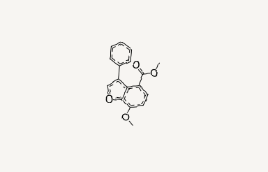 COC(=O)c1ccc(OC)c2occ(-c3ccccc3)c12